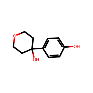 Oc1ccc(C2(O)CCOCC2)cc1